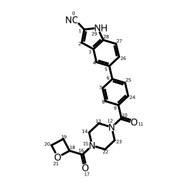 N#Cc1cc2cc(-c3ccc(C(=O)N4CCN(C(=O)C5CCO5)CC4)cc3)ccc2[nH]1